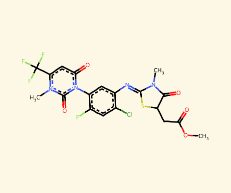 COC(=O)CC1SC(=Nc2cc(-n3c(=O)cc(C(F)(F)F)n(C)c3=O)c(F)cc2Cl)N(C)C1=O